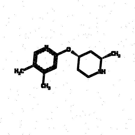 Cc1cnc(O[C@H]2CCN[C@@H](C)C2)cc1C